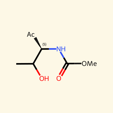 COC(=O)N[C@H](C(C)=O)C(C)O